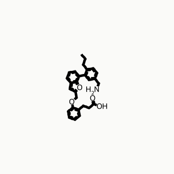 CCCc1ccc(CN)cc1-c1cccc2cc(COc3ccccc3CCC(=O)O)oc12